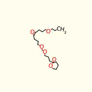 CCCOCCCC1OC1CCCOCOCCCC12OCCCC1O2